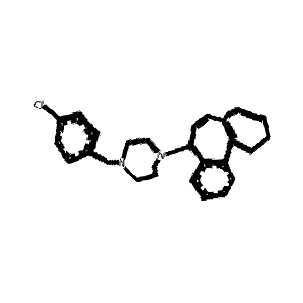 Clc1ccc(CN2CCN(C3C=CC4=C(CCC=C4)c4ccccc43)CC2)cc1